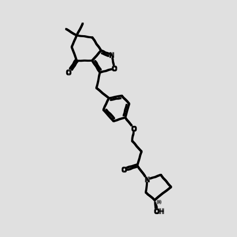 CC1(C)CC(=O)c2c(noc2Cc2ccc(OCCC(=O)N3CC[C@@H](O)C3)cc2)C1